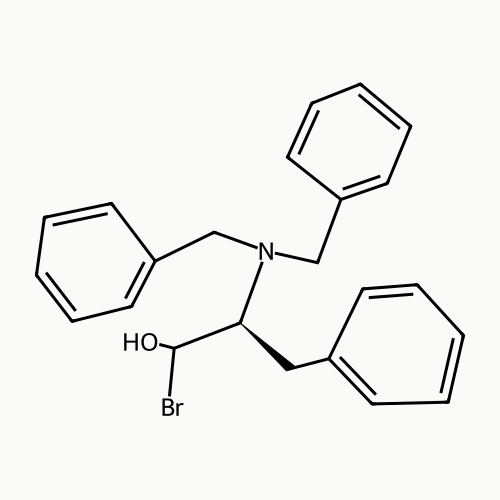 OC(Br)[C@H](Cc1ccccc1)N(Cc1ccccc1)Cc1ccccc1